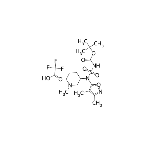 Cc1noc(N(C2CCCN(C)C2)S(=O)(=O)NC(=O)OC(C)(C)C)c1C.O=C(O)C(F)(F)F